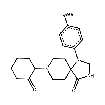 COc1ccc(N2CNC(=O)C23CCN(C2CCCCC2=O)CC3)cc1